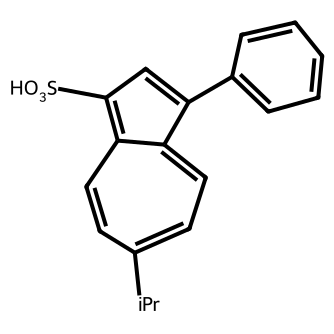 CC(C)c1ccc2c(-c3ccccc3)cc(S(=O)(=O)O)c-2cc1